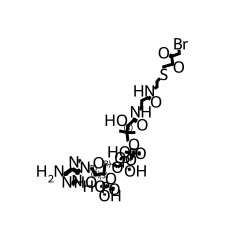 CC(C)(COP(=O)(O)OP(=O)(O)OC[C@H]1O[C@@H](n2cnc3c(N)ncnc32)[C@H](O)[C@@H]1OP(=O)(O)O)[C@@H](O)C(=O)NCCC(=O)NCCSCC(=O)C(=O)CBr